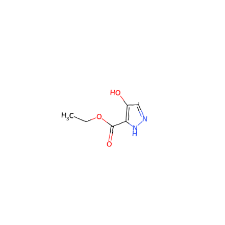 CCOC(=O)c1[nH]n[c]c1O